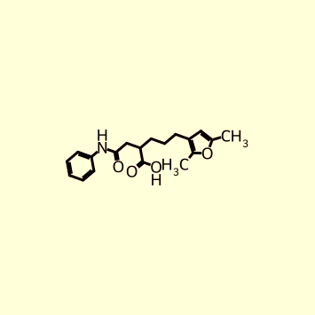 Cc1cc(CCCC(CC(=O)Nc2ccccc2)C(=O)O)c(C)o1